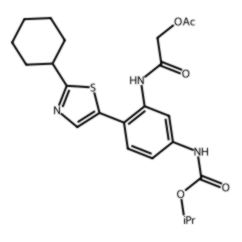 CC(=O)OCC(=O)Nc1cc(NC(=O)OC(C)C)ccc1-c1cnc(C2CCCCC2)s1